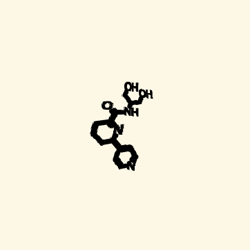 O=C(NC(CO)CO)C1=NC(c2ccncc2)CCC1